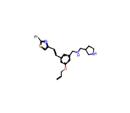 C=CCOc1cc(/C=C/c2csc(C(C)C)n2)cc(CNCC2CCNC2)c1